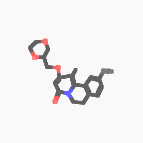 COc1ccc2c(c1)-c1c(C)c(OCC3COCCO3)cc(=O)n1CC2